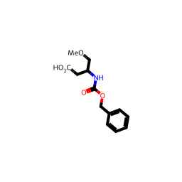 COCC(CC(=O)O)NC(=O)OCc1ccccc1